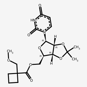 COCC1(C(=O)OC[C@H]2O[C@@H](n3ccc(=O)[nH]c3=O)[C@@H]3OC(C)(C)O[C@@H]32)CCC1